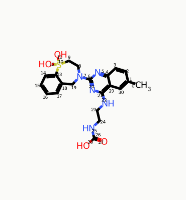 Cc1ccc2nc(N3CCS(O)(O)c4ccccc4C3)nc(NCCNC(=O)O)c2c1